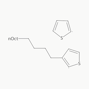 CCCCCCCCCCCCc1[c]scc1.[c]1cccs1